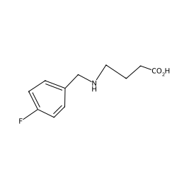 O=C(O)CCCNCc1ccc(F)cc1